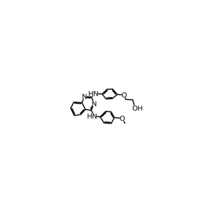 COc1ccc(Nc2nc(Nc3ccc(OCCO)cc3)nc3ccccc23)cc1